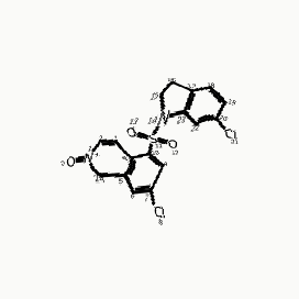 O=[N+]1C=Cc2c(cc(Cl)cc2S(=O)(=O)N2CCc3ccc(Cl)cc32)C1